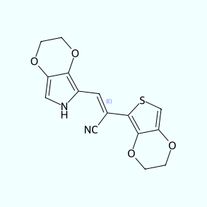 N#C/C(=C\c1[nH]cc2c1OCCO2)c1scc2c1OCCO2